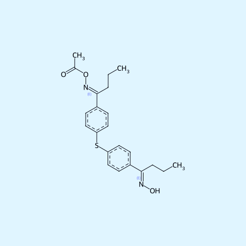 CCC/C(=N\O)c1ccc(Sc2ccc(/C(CCC)=N/OC(C)=O)cc2)cc1